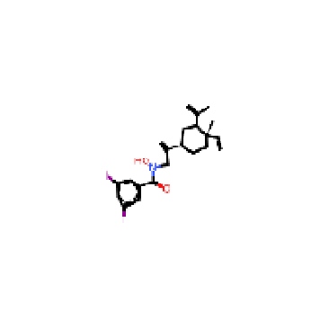 C=C[C@]1(C)CC[C@@H](C(=C)CN(O)C(=O)c2cc(I)cc(I)c2)C[C@H]1C(=C)C